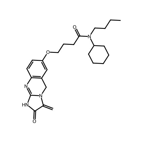 C=c1c(=O)[nH]c2n1Cc1cc(OCCCC(=O)N(CCCC)C3CCCCC3)ccc1N=2